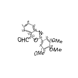 COc1cc(C2=Nc3ccccc3C(C=O)O2)cc(OC)c1OC